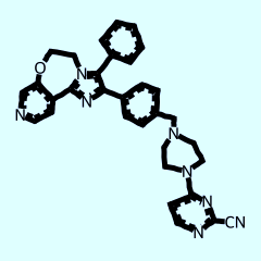 N#Cc1nccc(N2CCN(Cc3ccc(-c4nc5n(c4-c4ccccc4)CCOc4cnccc4-5)cc3)CC2)n1